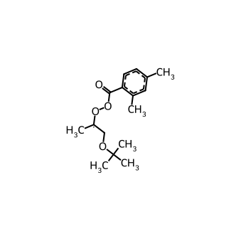 C[C](COC(C)(C)C)OOC(=O)c1ccc(C)cc1C